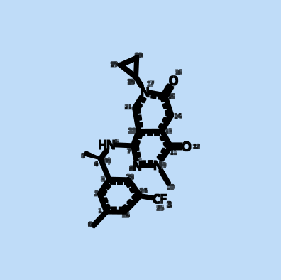 Cc1cc([C@@H](C)Nc2nn(C)c(=O)c3cc(=O)n(C4CC4)cc23)cc(C(F)(F)F)c1